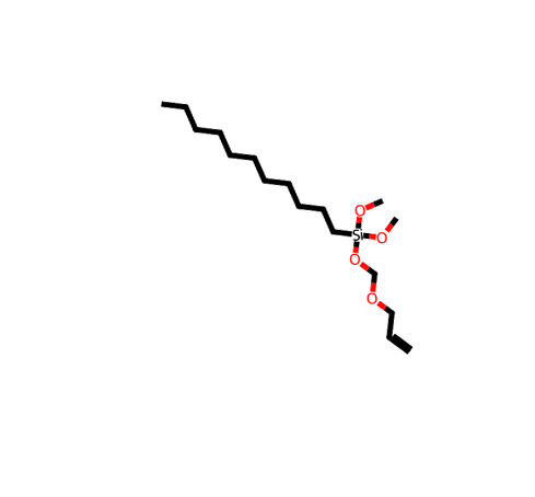 C=CCOCO[Si](CCCCCCCCCCC)(OC)OC